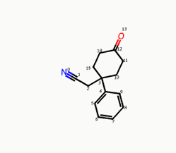 N#CCC1(c2ccccc2)CCC(=O)CC1